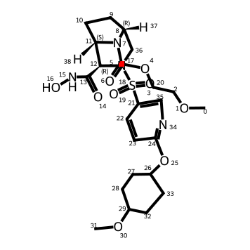 COCCOC(=O)N1[C@@H]2CC[C@H]1[C@H](C(=O)NO)N(S(=O)(=O)c1ccc(OC3CCC(OC)CC3)nc1)C2